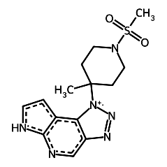 CC1([N+]2N=Nc3cnc4[nH]ccc4c32)CCN(S(C)(=O)=O)CC1